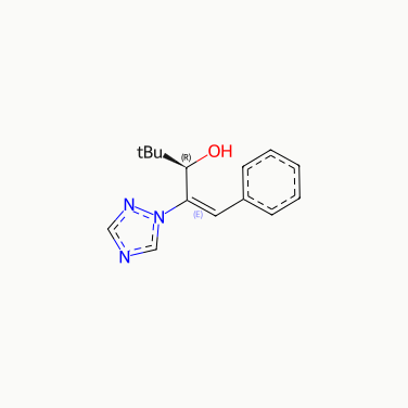 CC(C)(C)[C@@H](O)/C(=C\c1ccccc1)n1cncn1